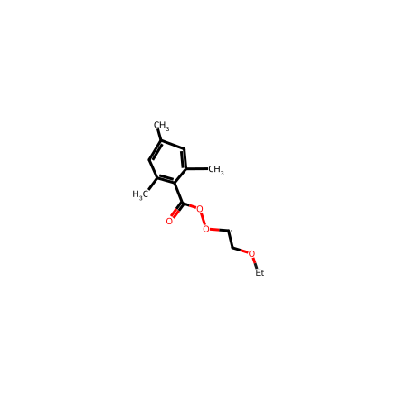 CCOC[CH]OOC(=O)c1c(C)cc(C)cc1C